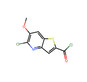 COc1cc2sc(C(=O)Cl)cc2nc1Cl